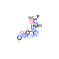 N#CC(=CC1CC1)C(=O)N1C[C@H]2CC(n3nc(-c4ccc(C(=O)Nc5cc(F)ccn5)cc4F)c4c(N)ncnc43)[C@H]1C2